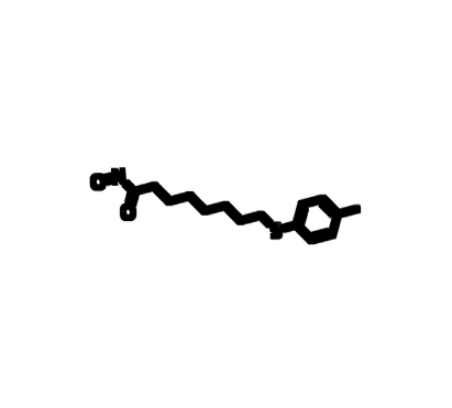 Cc1ccc(SCCCCCCCC(=O)N=O)cc1